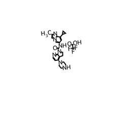 Cc1cn2cc(NC(=O)N3CCc4c(N5CCNCC5)ccnc43)cc(C3CC3)c2n1.O=C(O)C(F)(F)F